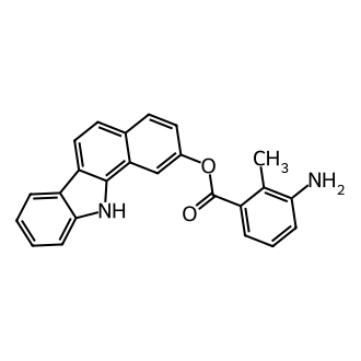 Cc1c(N)cccc1C(=O)Oc1ccc2ccc3c4ccccc4[nH]c3c2c1